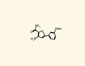 COc1cccc(-c2cc(N)c(C(N)=O)s2)c1